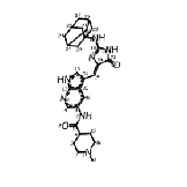 CN1CCC(C(=O)Nc2cnc3[nH]cc(C=C4N=C(NC56CC7CC(CC(C7)C5)C6)NC4=O)c3c2)CC1